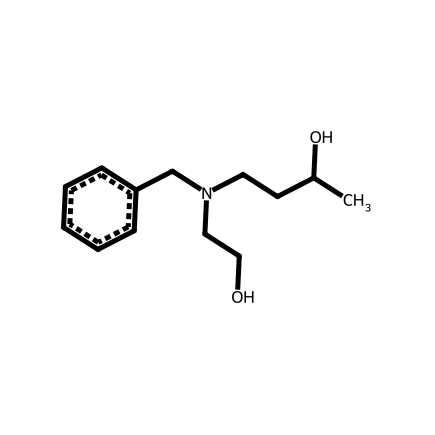 CC(O)CCN(CCO)Cc1ccccc1